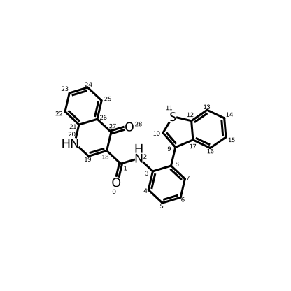 O=C(Nc1ccccc1-c1csc2ccccc12)c1c[nH]c2ccccc2c1=O